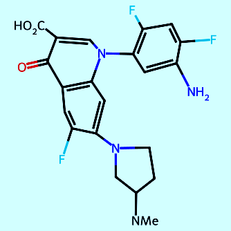 CNC1CCN(c2cc3c(cc2F)c(=O)c(C(=O)O)cn3-c2cc(N)c(F)cc2F)C1